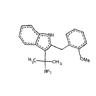 COc1ccccc1Cc1[nH]c2ccccc2c1C(C)(C)N